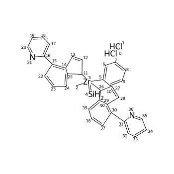 Cl.Cl.[CH3][Zr](=[SiH2])([c]1ccccc1)([CH]1C=Cc2c(-c3ccccn3)cccc21)[CH]1C=Cc2c(-c3ccccn3)cccc21